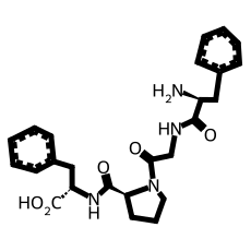 N[C@@H](Cc1ccccc1)C(=O)NCC(=O)N1CCC[C@H]1C(=O)N[C@@H](Cc1ccccc1)C(=O)O